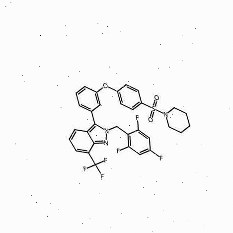 O=S(=O)(c1ccc(Oc2cccc(-c3c4cccc(C(F)(F)F)c4nn3Cc3c(F)cc(F)cc3F)c2)cc1)N1CCCCC1